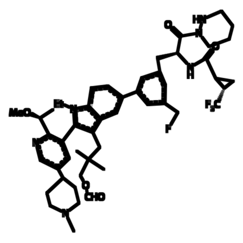 CCn1c(-c2cc(C3CCN(C)CC3)cnc2[C@H](C)OC)c(CC(C)(C)COC=O)c2cc(-c3cc(CF)cc(C[C@H](NC(=O)C4C[C@@H]4C(F)(F)F)C(=O)N4CCCCN4)c3)ccc21